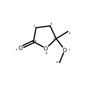 COC1(C)CCC(=O)O1